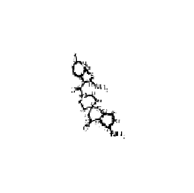 Cc1ccc2c(C(=O)N3CCC4(CC3)CC(=O)c3cc(N)ccc3S4)c(N)sc2n1